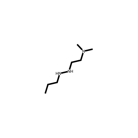 CCCNNCCN(C)C